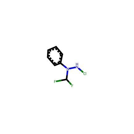 FC(F)N(NCl)c1ccccc1